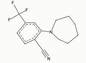 N#Cc1ccc(C(F)(F)F)cc1N1CCCCCC1